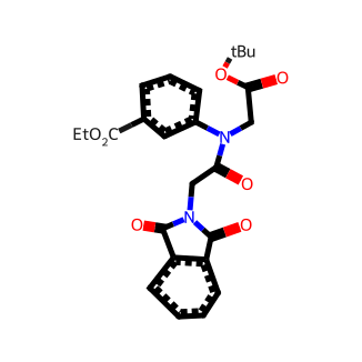 CCOC(=O)c1cccc(N(CC(=O)OC(C)(C)C)C(=O)CN2C(=O)c3ccccc3C2=O)c1